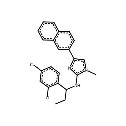 CCC(Nc1nc(-c2ccc3ccccc3c2)cn1C)c1ccc(Cl)cc1Cl